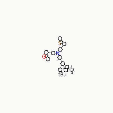 CC(C)(C)c1ccc2c(c1)C(C)(C)c1ccc(-c3ccc(N(c4ccc(-c5cccc6c5sc5ccccc56)cc4)c4ccc(-c5cccc6oc7ccccc7c56)cc4)cc3)cc1-2